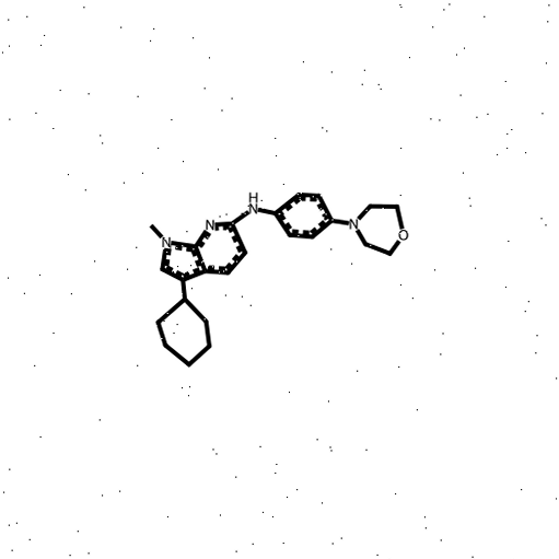 Cn1cc(C2CCCCC2)c2ccc(Nc3ccc(N4CCOCC4)cc3)nc21